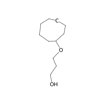 OCCCOC1CCCCCCC1